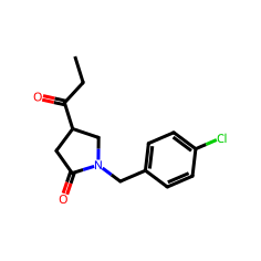 CCC(=O)C1CC(=O)N(Cc2ccc(Cl)cc2)C1